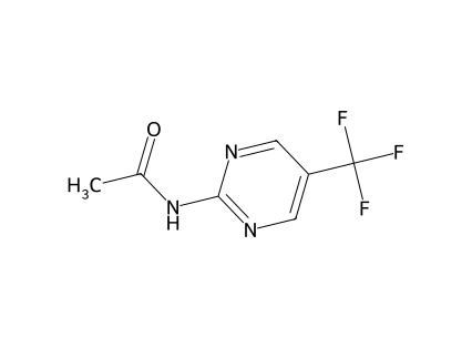 CC(=O)Nc1ncc(C(F)(F)F)cn1